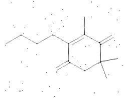 CCCCC1=C(C)C(=O)C(C)(C)CC1=O